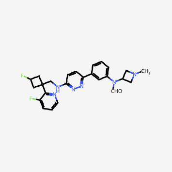 CN1CC(N(C=O)c2cccc(-c3ccc(NCC4(c5ncccc5F)CC(F)C4)nn3)c2)C1